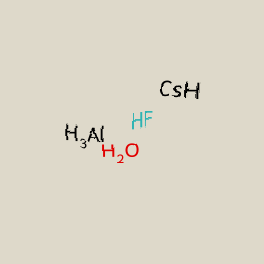 F.O.[AlH3].[CsH]